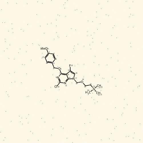 COc1ccc(COc2nc(Cl)nc3c2c(F)cn3COCC[Si](C)(C)C)cc1